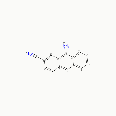 N#Cc1ccc2cc3ccccc3c(N)c2c1